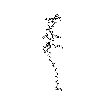 CCCCCCCCCCCCCCCc1cccc(ON(C(=O)CCC)c2cc(O)c(NC(=O)c3ccc(C(C)(C)C)cc3)cc2Cl)c1